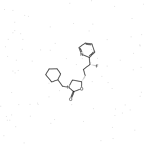 O=C1O[C@@H](CC[C@@H](F)c2ccccn2)CN1CC1CCCCC1